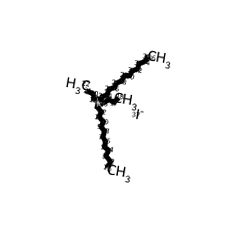 CCCCCCCCCCCCCC[N+](CCCC)(CCCC)CCCCCCCCCCCCCC.[I-]